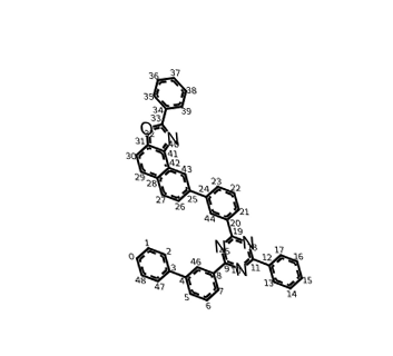 c1ccc(-c2cccc(-c3nc(-c4ccccc4)nc(-c4cccc(-c5ccc6ccc7oc(-c8ccccc8)nc7c6c5)c4)n3)c2)cc1